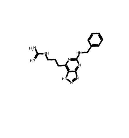 N=C(N)NCCCc1nc(NCc2ccccc2)nc2nn[nH]c12